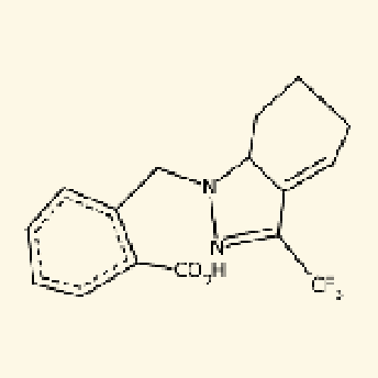 O=C(O)c1ccccc1CN1N=C(C(F)(F)F)C2=CCCCC21